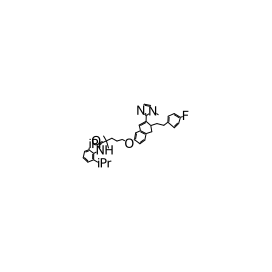 CC(C)c1cccc(C(C)C)c1NC(=O)C(C)(C)CCCOc1ccc2c(c1)C=C(c1nccn1C)C(CCc1ccc(F)cc1)C2